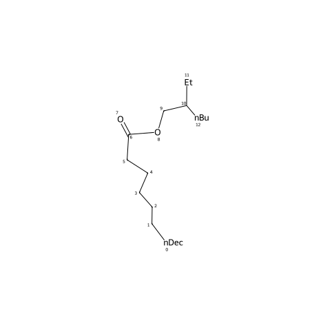 CCCCCCCCCCCCCCCC(=O)OCC(CC)CCCC